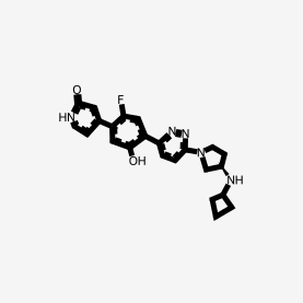 O=c1cc(-c2cc(O)c(-c3ccc(N4CC[C@@H](NC5CCC5)C4)nn3)cc2F)cc[nH]1